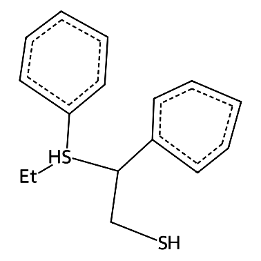 CC[SH](c1ccccc1)C(CS)c1ccccc1